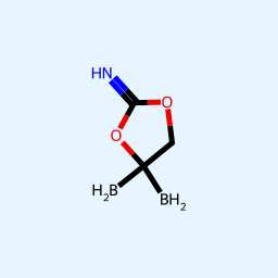 BC1(B)COC(=N)O1